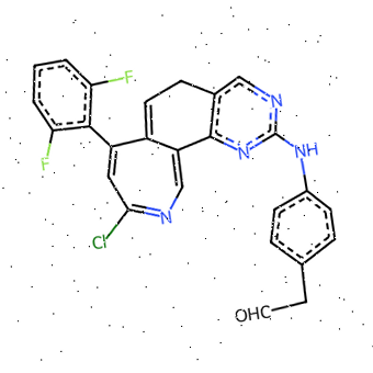 O=CCc1ccc(Nc2ncc3c(n2)C2=CN=C(Cl)C=C(c4c(F)cccc4F)C2=CC3)cc1